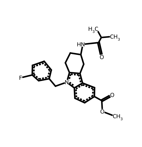 COC(=O)c1ccc2c(c1)c1c(n2Cc2cccc(F)c2)CCC(NC(=O)C(C)C)C1